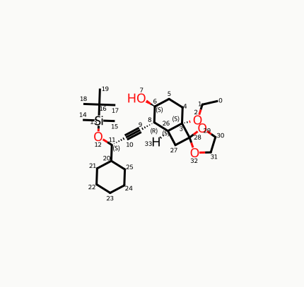 CCO[C@@]12CC[C@H](O)[C@@H](C#C[C@@H](O[Si](C)(C)C(C)(C)C)C3CCCCC3)[C@@H]1CC21OCCO1